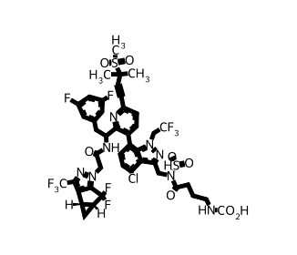 CC(C)(C#Cc1ccc(-c2ccc(Cl)c3c(CN(C(=O)CCCNC(=O)O)[SH](=O)=O)nn(CC(F)(F)F)c23)c(C(Cc2cc(F)cc(F)c2)NC(=O)Cn2nc(C(F)(F)F)c3c2C(F)(F)[C@@H]2C[C@H]32)n1)S(C)(=O)=O